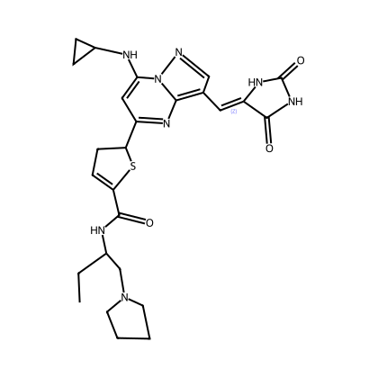 CCC(CN1CCCC1)NC(=O)C1=CCC(c2cc(NC3CC3)n3ncc(/C=C4\NC(=O)NC4=O)c3n2)S1